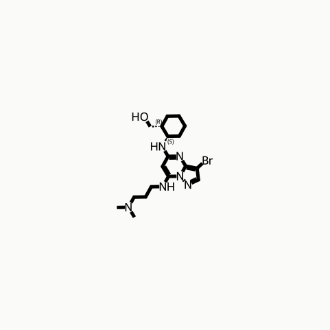 CN(C)CCCNc1cc(N[C@H]2CCCC[C@H]2CO)nc2c(Br)cnn12